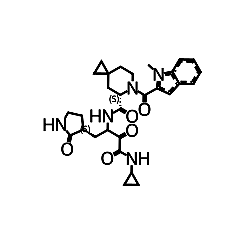 Cn1c(C(=O)N2CCC3(CC3)C[C@H]2C(=O)NC(C[C@@H]2CCNC2=O)C(=O)C(=O)NC2CC2)cc2ccccc21